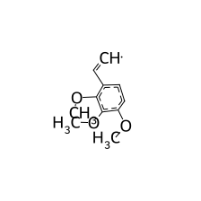 [CH]=Cc1ccc(OC)c(OC)c1OC